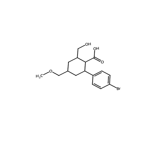 COCC1CC(CO)C(C(=O)O)C(c2ccc(Br)cc2)C1